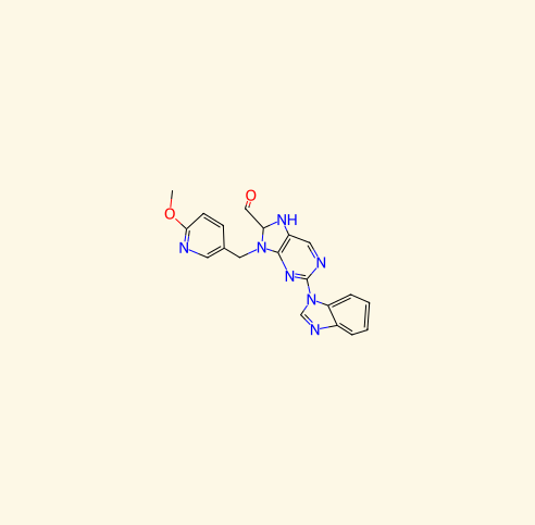 COc1ccc(CN2c3nc(-n4cnc5ccccc54)ncc3NC2C=O)cn1